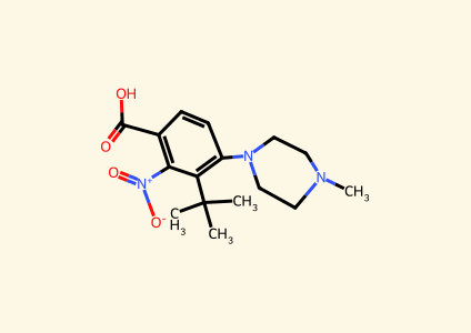 CN1CCN(c2ccc(C(=O)O)c([N+](=O)[O-])c2C(C)(C)C)CC1